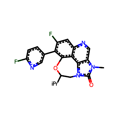 CC(C)C1Cn2c(=O)n(C)c3cnc4cc(F)c(-c5ccc(F)nc5)c(c4c32)O1